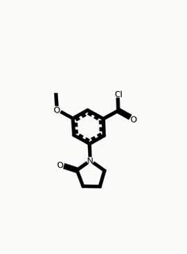 COc1cc(C(=O)Cl)cc(N2CCCC2=O)c1